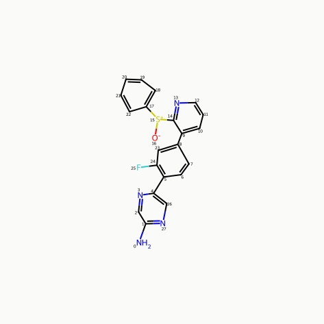 Nc1cnc(-c2ccc(-c3cccnc3[S+]([O-])c3ccccc3)cc2F)cn1